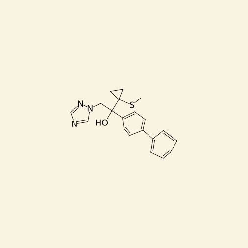 CSC1(C(O)(Cn2cncn2)c2ccc(-c3ccccc3)cc2)CC1